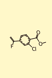 C=C(F)c1ccc(C(=O)OC)c(Cl)c1